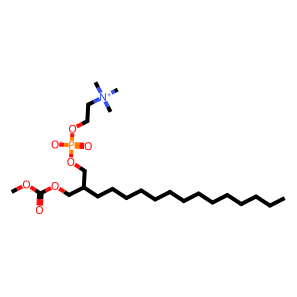 CCCCCCCCCCCCCCC(COC(=O)OC)COP(=O)([O-])OCC[N+](C)(C)C